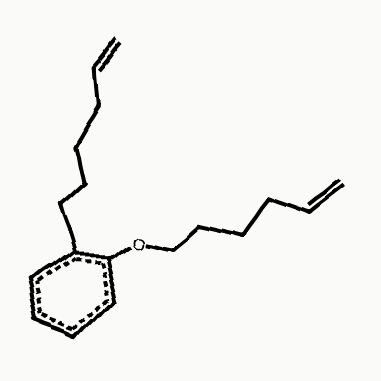 C=CCCCCOc1ccccc1CCCCC=C